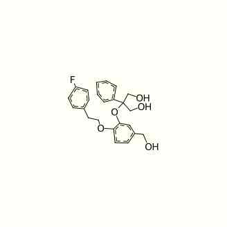 OCc1ccc(OCCc2ccc(F)cc2)c(OC(CO)(CO)c2ccccc2)c1